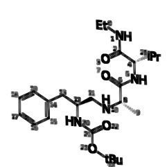 CCNC(=O)[C@@H](NC(=O)[C@H](C)NC[C@H](Cc1ccccc1)NC(=O)OC(C)(C)C)C(C)C